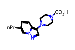 CCCc1ccc2c(N3CCN(C(=O)O)CC3)cnn2c1